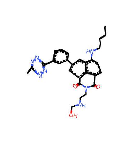 CCCCNc1ccc2c3c(cc(-c4cccc(-c5nnc(C)nn5)c4)cc13)C(=O)N(CCNCO)C2=O